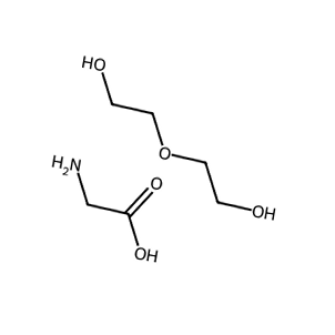 NCC(=O)O.OCCOCCO